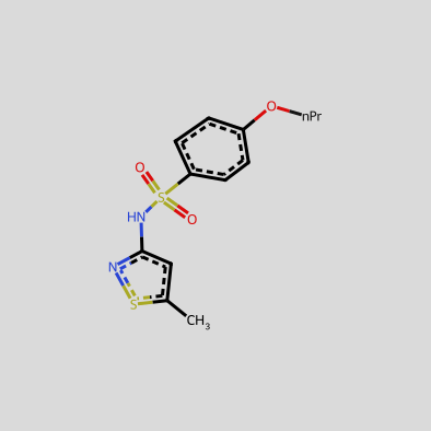 CCCOc1ccc(S(=O)(=O)Nc2cc(C)sn2)cc1